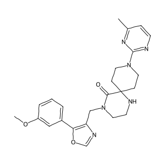 COc1cccc(-c2ocnc2CN2CCNC3(CCN(c4nccc(C)n4)CC3)C2=O)c1